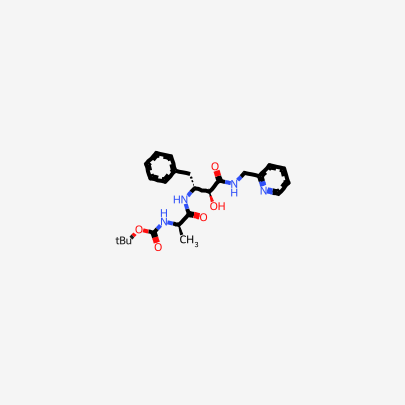 C[C@@H](NC(=O)OC(C)(C)C)C(=O)N[C@H](Cc1ccccc1)[C@H](O)C(=O)NCc1ccccn1